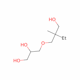 CCC(C)(CO)COCC(O)CO